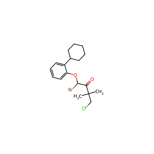 CC(C)(CCl)C(=O)C(Br)Oc1ccccc1C1CCCCC1